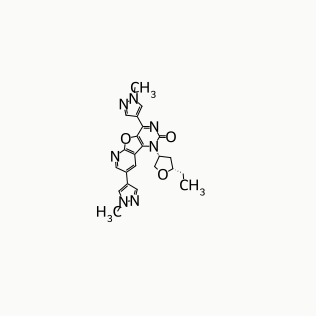 CC[C@H]1C[C@@H](n2c(=O)nc(-c3cnn(C)c3)c3oc4ncc(-c5cnn(C)c5)cc4c32)CO1